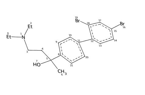 CCN(CC)CCC(C)(O)c1ccc(-c2ccc(Br)cc2Br)cc1